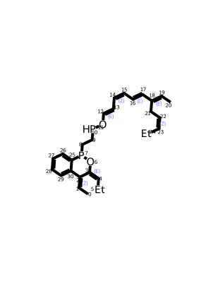 C/C=C1\C(=C/CC)OP(CCPO/C=C/C=C\C=C\C(=C\C)C/C=C\CC)c2ccccc21